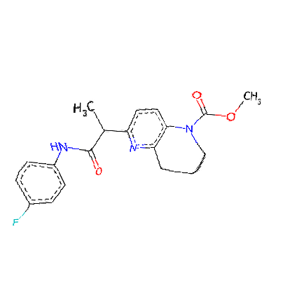 COC(=O)N1CCCc2nc(C(C)C(=O)Nc3ccc(F)cc3)ccc21